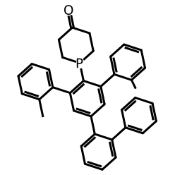 Cc1ccccc1-c1cc(-c2ccccc2-c2ccccc2)cc(-c2ccccc2C)c1P1CCC(=O)CC1